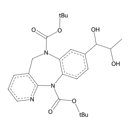 CC(O)C(O)c1ccc2c(c1)N(C(=O)OC(C)(C)C)Cc1cccnc1N2C(=O)OC(C)(C)C